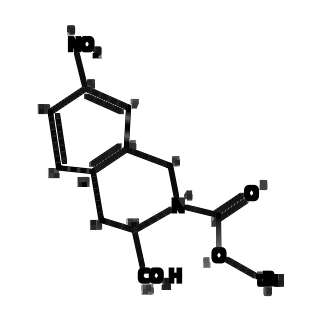 CC(C)(C)OC(=O)N1Cc2cc([N+](=O)[O-])ccc2CC1C(=O)O